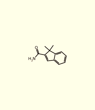 CC1(C)C(C(N)=O)=Cc2ccccc21